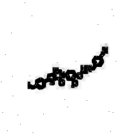 COc1cc(-n2cnc3c(c2=O)SC(c2ccc(CI)cc2)C3)ccc1OCCNCc1ccc(C#N)cc1